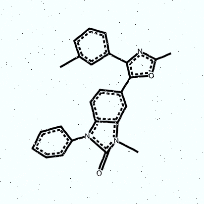 Cc1cccc(-c2nc(C)oc2-c2ccc3c(c2)n(C)c(=O)n3-c2ccccc2)c1